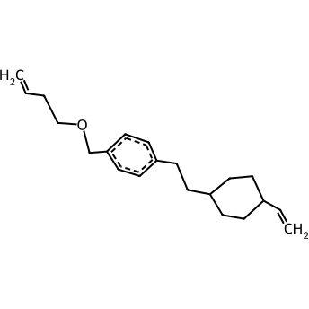 C=CCCOCc1ccc(CCC2CCC(C=C)CC2)cc1